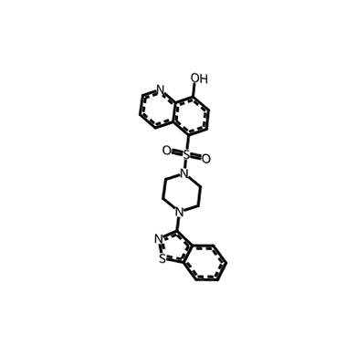 O=S(=O)(c1ccc(O)c2ncccc12)N1CCN(c2nsc3ccccc23)CC1